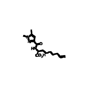 C=CCCCCC[C@H](NC(=O)c1cc(C)n(C)n1)C(=O)O